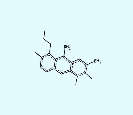 Bc1cc2c(B)c3c(CCC)c(C)ccc3cc2c(C)c1C